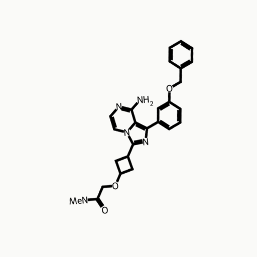 CNC(=O)COC1CC(c2nc(-c3cccc(OCc4ccccc4)c3)c3c(N)nccn23)C1